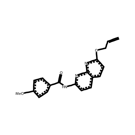 C=CCOc1ccc2ccc(NC(=O)c3ccc(OC)cc3)nc2n1